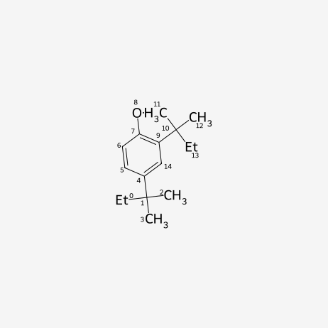 CCC(C)(C)c1ccc([O])c(C(C)(C)CC)c1